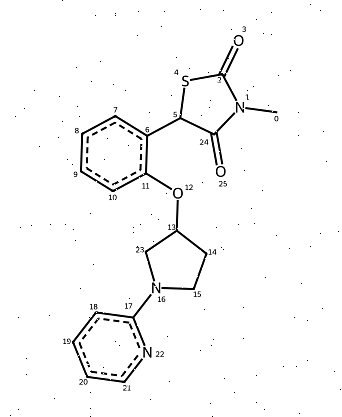 CN1C(=O)SC(c2ccccc2OC2CCN(c3ccccn3)C2)C1=O